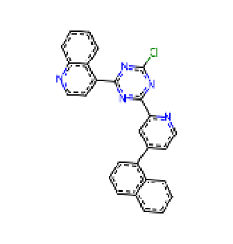 Clc1nc(-c2cc(-c3cccc4ccccc34)ccn2)nc(-c2ccnc3ccccc23)n1